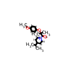 COc1ccc(OC(C)(C)C(=O)N2CCC(C(C)C)CC2)cc1